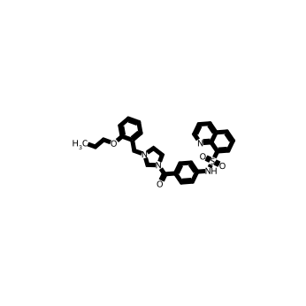 CCCOc1ccccc1CN1CCN(C(=O)c2ccc(NS(=O)(=O)c3cccc4cccnc34)cc2)C1